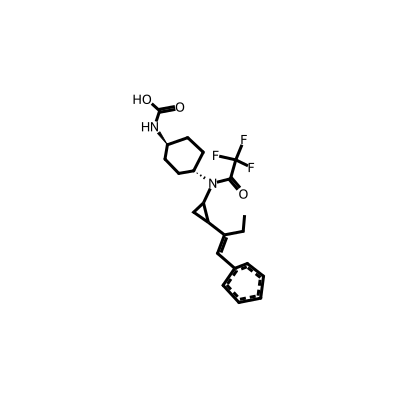 CC/C(=C\c1ccccc1)C1CC1N(C(=O)C(F)(F)F)[C@H]1CC[C@H](NC(=O)O)CC1